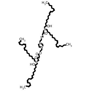 CC/C=C\C/C=C\C/C=C\CCCCCCC(O)CN(CCCC(=O)OCCN1CCN(CCSSCCCN(CC(O)CCCCCC/C=C\C/C=C\CCCCC)CC(O)CCCCCC/C=C\C/C=C\CCCCC)CC1)CC(O)CCCCCC/C=C\C/C=C\C/C=C\CC